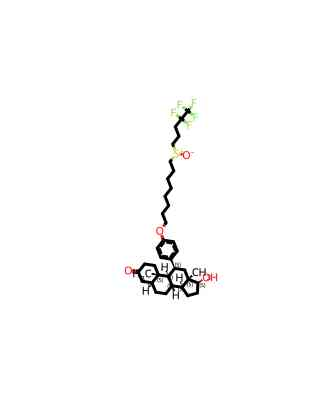 C[C@]12CCC(=O)C[C@@H]1CC[C@@H]1[C@@H]2[C@@H](c2ccc(OCCCCCCCC[S+]([O-])CCCC(F)(F)C(F)(F)F)cc2)C[C@]2(C)[C@@H](O)CC[C@@H]12